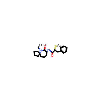 CC(=O)SC(Cc1ccccc1)C(=O)NC1CCCC2(CCCC2)N(CC(=O)O)C1=O